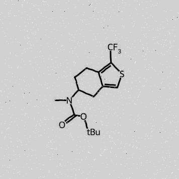 CN(C(=O)OC(C)(C)C)C1CCc2c(csc2C(F)(F)F)C1